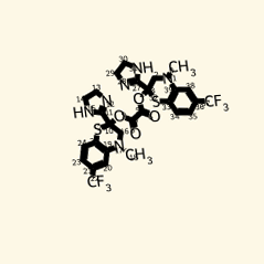 CN1CC(OC(=O)C(=O)OC2(C3=NCCN3)CN(C)c3cc(C(F)(F)F)ccc3S2)(C2=NCCN2)Sc2ccc(C(F)(F)F)cc21